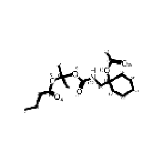 CCCC(=O)OC(C)(C)OC(=O)NCC1(OC(C)=O)CCCCC1